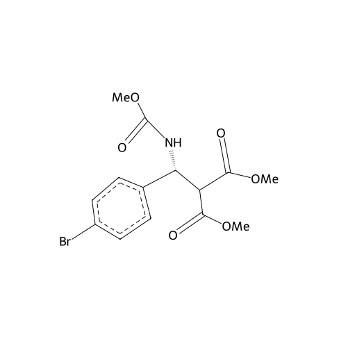 COC(=O)N[C@@H](c1ccc(Br)cc1)C(C(=O)OC)C(=O)OC